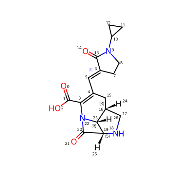 O=C(O)C1=C(/C=C2\CCN(C3CC3)C2=O)C[C@@H]2CN[C@@H]3C(=O)N1[C@H]23